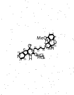 COc1cccc2c1[C@@H]1CN(CCCCn3c(=O)[nH]c4c(sc5cnccc54)c3=O)C[C@H]1CO2.Cl.Cl